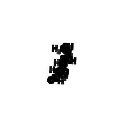 Cc1c(-c2cc(Nc3cc4n(n3)CC[N+](C)(O)C4)c(=O)[nH]n2)ccc(F)c1NC(=O)c1cc2ccccc2s1